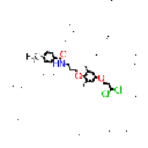 Cc1cc(OCC=C(Cl)Cl)cc(C)c1OCCCNC(=O)c1ccc(C(F)(F)F)cc1